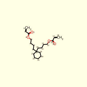 C=CC(=O)OCCCCC1(CCCCOC(=O)C=C)CCCCC1